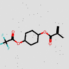 C=C(C)C(=O)OC1CCC(OC(=O)C(F)(F)F)CC1